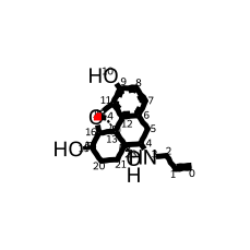 C=CCNC1Cc2ccc(O)c3c2[C@]2(CC)C(O3)[C@H](O)CC[C@]12O